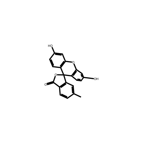 Cc1ccc2c(c1)C1(OC2=O)c2ccc(O)cc2Oc2cc(O)ccc21